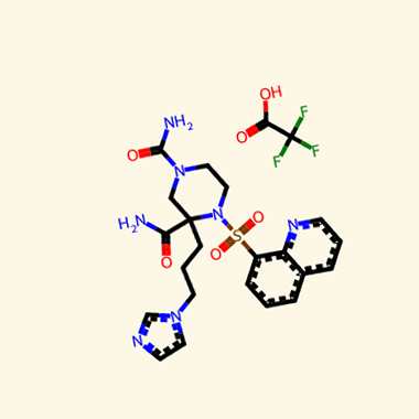 NC(=O)N1CCN(S(=O)(=O)c2cccc3cccnc23)C(CCCn2ccnc2)(C(N)=O)C1.O=C(O)C(F)(F)F